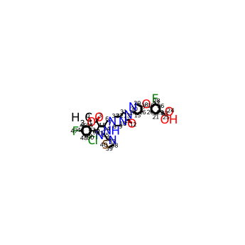 COC(=O)C1=C(CN2CCN3C(=O)N(c4ccc(Oc5ccc(C(=O)O)cc5F)cn4)CC3C2)NC(c2nccs2)=N[C@H]1c1ccc(F)cc1Cl